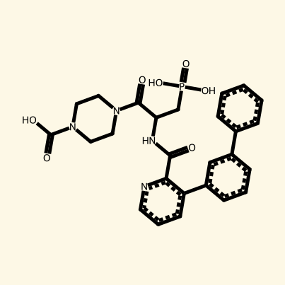 O=C(NC(CP(=O)(O)O)C(=O)N1CCN(C(=O)O)CC1)c1ncccc1-c1cccc(-c2ccccc2)c1